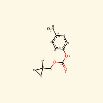 CC1(COC(=O)Oc2ccc([N+](=O)[O-])cc2)CC1